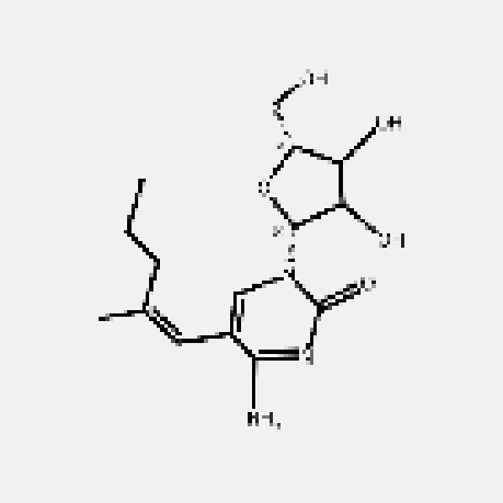 CCCC(C)=Cc1cn([C@@H]2O[C@H](CO)C(O)C2O)c(=O)nc1N